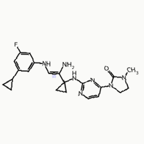 CN1CCN(c2ccnc(NC3(/C(N)=C/Nc4cc(F)cc(C5CC5)c4)CC3)n2)C1=O